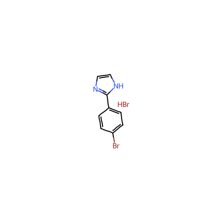 Br.Brc1ccc(-c2ncc[nH]2)cc1